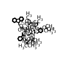 COC(=O)[C@H](CC(C)C)NC(=O)[C@@H](CC(C)C)NC(=O)[C@H](Cc1ccc(OC(C)(C)C)cc1)NC(=O)[C@H](COC(C)(C)C)NC(=O)[C@H](Cc1cn(C(=O)OC(C)(C)C)c2ccccc12)NC(=O)OCC1c2ccccc2-c2ccccc21